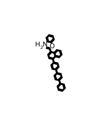 C=C(Oc1ccccc1N)c1ccc(-c2ccc(-c3ccc(-c4ccccc4)cc3)cc2)c2ccccc12